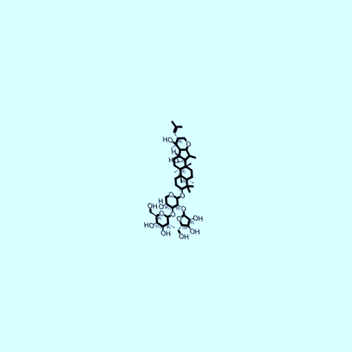 CC(C)=C[C@@H]1COC2C([C@H]3CC[C@]4(C)[C@@]5(C)CC[C@H](OC6OC[C@@H](O)[C@H](OC7O[C@H](CO)[C@@H](O)[C@H](O)[C@H]7C)[C@H]6OC6O[C@@H](CO)[C@H](O)[C@H]6O)C(C)(C)[C@]5(C)CC[C@@]4(C)[C@]3(CO)C2C)[C@@]1(C)O